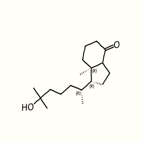 C[C@H](CCCC(C)(C)O)[C@H]1CCC2C(=O)CCC[C@@]21C